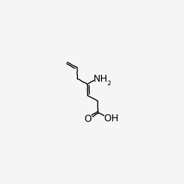 C=CCC(N)=CCC(=O)O